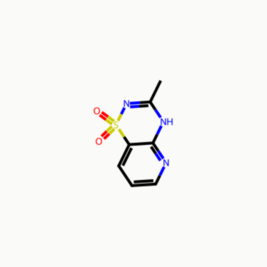 CC1=NS(=O)(=O)c2cccnc2N1